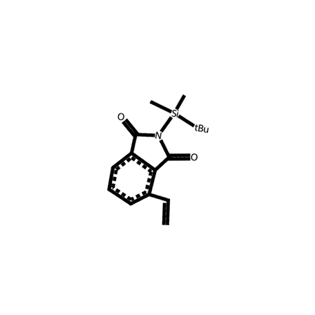 C=Cc1cccc2c1C(=O)N([Si](C)(C)C(C)(C)C)C2=O